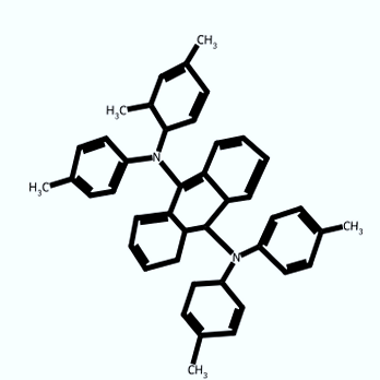 CC1=CCC(N(c2ccc(C)cc2)C2C3C=CC=CC3=C(N(c3ccc(C)cc3)C3C=CC(C)=CC3C)C3=CC=CCC32)C=C1